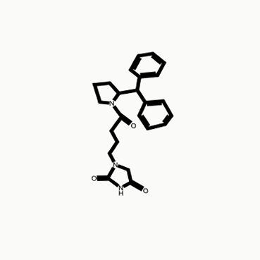 O=C1CN(CCCC(=O)N2CCCC2C(c2ccccc2)c2ccccc2)C(=O)N1